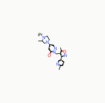 Cc1ccc(-c2noc(C)c2Cn2ncc(N3CCN(C(C)C)C(C)C3)cc2=O)cn1